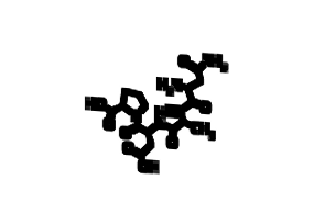 C[C@H](NC(=O)[C@@H](N)CC(N)=O)C(=O)N[C@@H](CC(=O)O)C(=O)N1CCC[C@@H]1C(=O)O